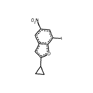 O=[N+]([O-])c1cc(I)c2oc(C3CC3)cc2c1